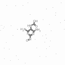 Nc1nc(N=O)nc(N)c1NC(=O)O